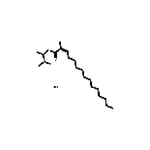 CCCCCCCCCCCCC=C(C)C(=O)OC(C)N(C)C.Cl